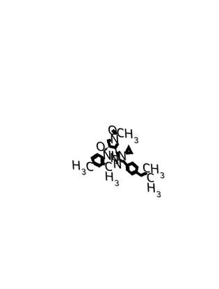 CC(=O)N1C[C@@H](C(=O)Nc2ccc(C)cc2C)[C@H](c2nnc(-c3ccc(CC(C)C)cc3)n2C2CC2)C1